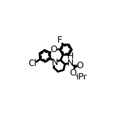 CC(C)OC(=O)NC1CCCN2c3cc(Cl)ccc3Oc3c(F)cccc3C12